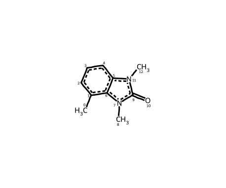 Cc1cccc2c1n(C)c(=O)n2C